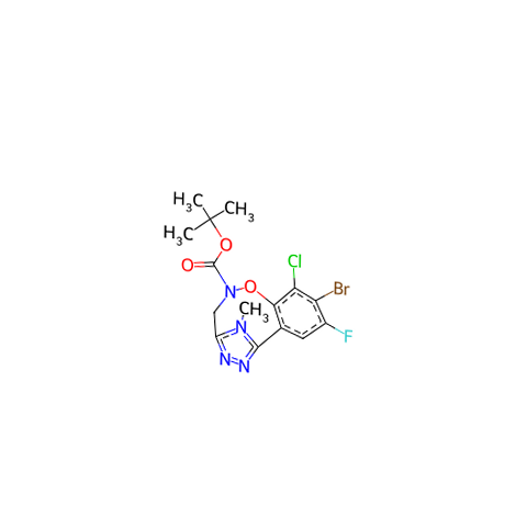 Cn1c2nnc1-c1cc(F)c(Br)c(Cl)c1ON(C(=O)OC(C)(C)C)C2